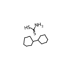 C1CCC(C2CCCCC2)CC1.NC(=S)S